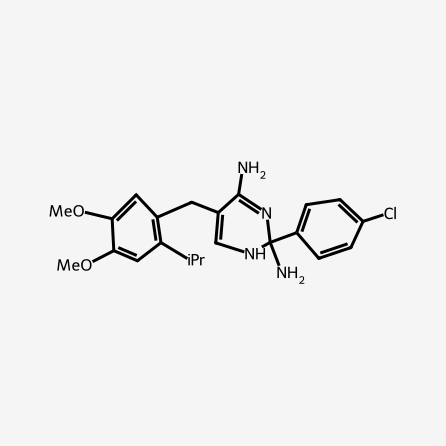 COc1cc(CC2=CNC(N)(c3ccc(Cl)cc3)N=C2N)c(C(C)C)cc1OC